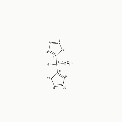 CC[CH]C(C)(C1=CC=CC1)C1=CC=CC1